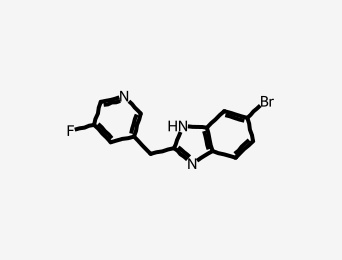 Fc1cncc(Cc2nc3ccc(Br)cc3[nH]2)c1